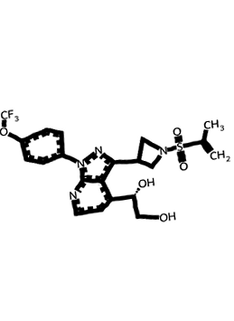 C=C(C)S(=O)(=O)N1CC(c2nn(-c3ccc(OC(F)(F)F)cc3)c3nccc([C@H](O)CO)c23)C1